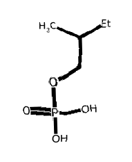 CCC(C)COP(=O)(O)O